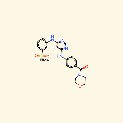 CNS(=O)(=O)c1cccc(Nc2cc(Nc3ccc(C(=O)N4CCOCC4)cc3)ncn2)c1